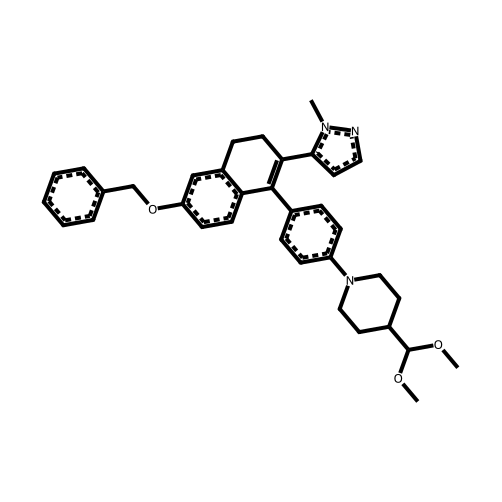 COC(OC)C1CCN(c2ccc(C3=C(c4ccnn4C)CCc4cc(OCc5ccccc5)ccc43)cc2)CC1